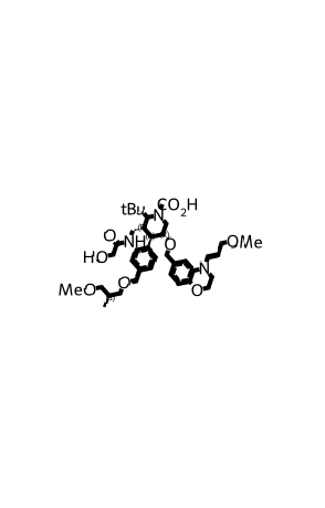 COCCCN1CCOc2ccc(CO[C@H]3CN(C(=O)O)C(C(C)(C)C)[C@@H](CNC(=O)CO)[C@@H]3c3ccc(COC[C@@H](C)COC)cc3)cc21